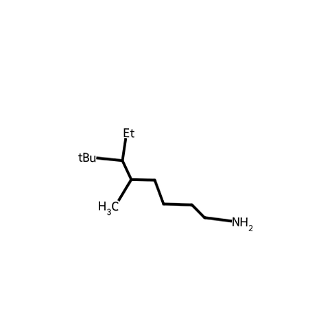 CCC(C(C)CCCCN)C(C)(C)C